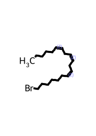 CCCCC/C=C\C/C=C\C/C=C\CCCCCCBr